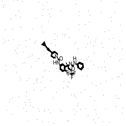 C[C@]1(c2cc(NC(=O)N3CC=C(C#CC4CC4)CC3)ccc2F)C[C@@H](C(F)(F)F)OC(Nc2ccccc2)=N1